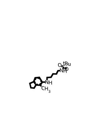 Cc1c(NCCCCCNS(=O)(=O)C(C)(C)C)ccc2c1CCC2